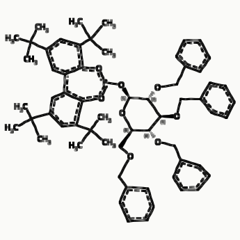 CC(C)(C)c1cc(C(C)(C)C)c2op(O[C@@H]3O[C@H](COCc4ccccc4)[C@@H](OCc4ccccc4)[C@H](OCc4ccccc4)[C@H]3OCc3ccccc3)oc3c(C(C)(C)C)cc(C(C)(C)C)cc3c2c1